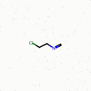 C=NCCCl